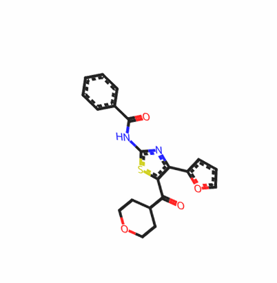 O=C(Nc1nc(-c2ccco2)c(C(=O)C2CCOCC2)s1)c1ccccc1